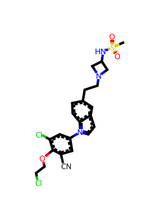 CS(=O)(=O)NC1CN(CCc2ccc3c(ccn3-c3cc(Cl)c(OCCCl)c(C#N)c3)c2)C1